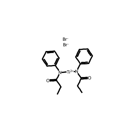 CCC(=O)[N]([Ti+2][N](C(=O)CC)c1ccccc1)c1ccccc1.[Br-].[Br-]